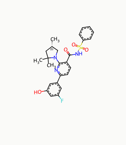 C[C@@H]1CN(c2nc(-c3cc(O)cc(F)c3)ccc2C(=O)NS(=O)(=O)c2ccccc2)C(C)(C)C1